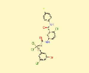 O=C(Nc1ccc(F)cc1)c1cc(NC(=O)[C@@H]2[C@@H](c3cc(Cl)cc(Br)c3)C2(Cl)Cl)ccc1Cl